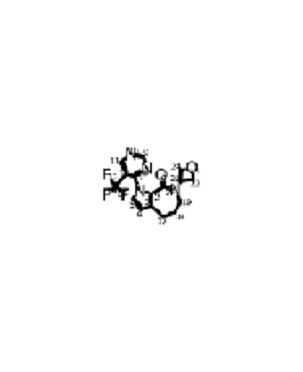 O=C1c2c(ccn2-c2ncncc2C(F)(F)F)CCCN1C1COC1